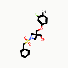 N#Cc1ccc(OCC2(CO)CN(S(=O)(=O)Cc3ccccc3)C2)cc1F